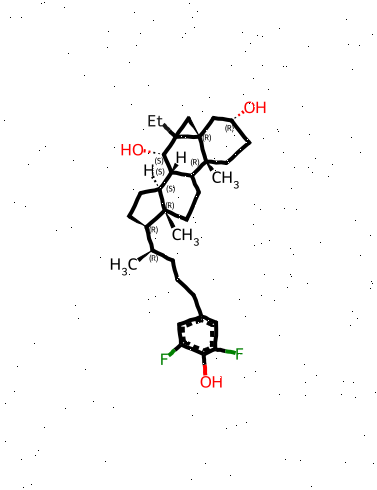 CCC12C[C@]13C[C@H](O)CC[C@]3(C)C1CC[C@]3(C)[C@@H]([C@H](C)CCCc4cc(F)c(O)c(F)c4)CC[C@H]3[C@@H]1[C@@H]2O